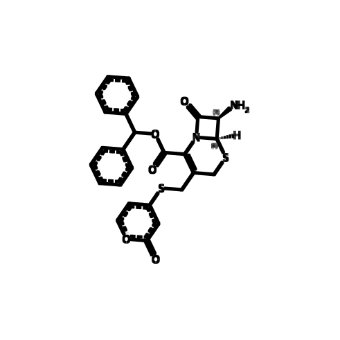 N[C@@H]1C(=O)N2C(C(=O)OC(c3ccccc3)c3ccccc3)=C(CSc3ccoc(=O)c3)CS[C@H]12